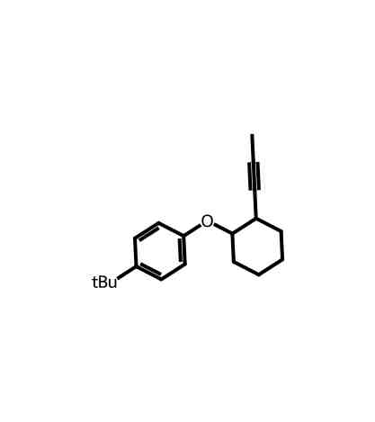 CC#CC1CCCCC1Oc1ccc(C(C)(C)C)cc1